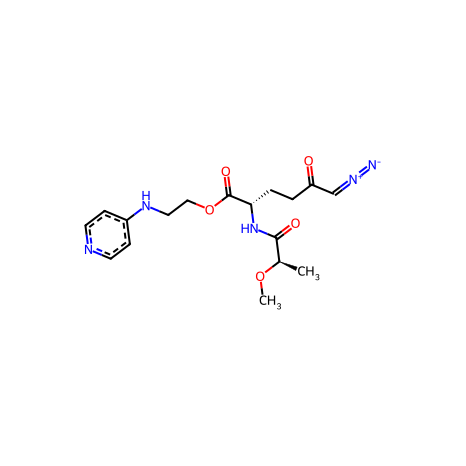 CO[C@H](C)C(=O)N[C@@H](CCC(=O)C=[N+]=[N-])C(=O)OCCNc1ccncc1